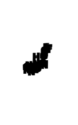 C[C@@H](NC(=O)c1cncc(-c2ccc(OC(F)(F)F)cc2)c1)c1ncnn1-c1ncccn1